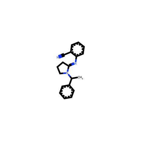 CC(c1ccccc1)N1CCCC1=Nc1ccccc1C#N